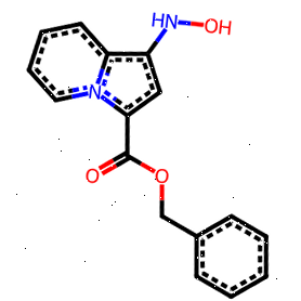 O=C(OCc1ccccc1)c1cc(NO)c2ccccn12